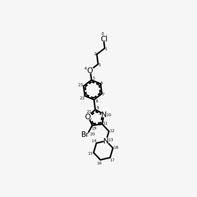 ClCCCOc1ccc(-c2nc(CN3CCCCC3)c(Br)o2)cc1